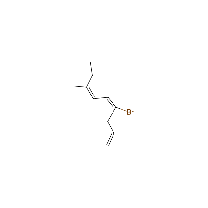 C=CC/C(Br)=C\C=C(\C)CC